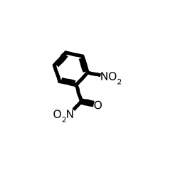 O=C(c1ccccc1[N+](=O)[O-])[N+](=O)[O-]